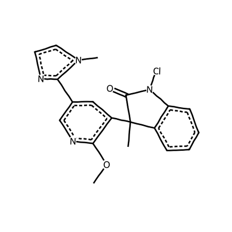 COc1ncc(-c2nccn2C)cc1C1(C)C(=O)N(Cl)c2ccccc21